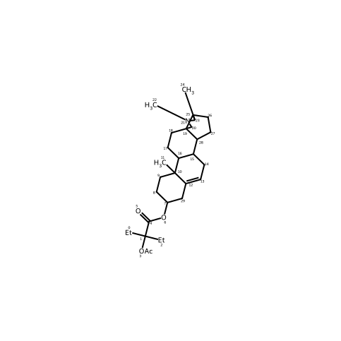 CCC(CC)(OC(C)=O)C(=O)OC1CCC2(C)C(=CCC3C2CCC24CN(C)C(C)C2CCC34)C1